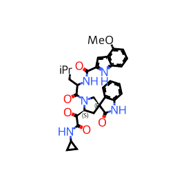 COc1cccc2[nH]c(C(=O)NC(CC(C)C)C(=O)N3C[C@]4(C[C@H]3C(=O)C(=O)NC3CC3)C(=O)Nc3ccccc34)cc12